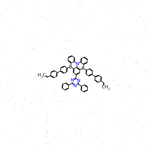 C=Cc1ccc(-c2ccc(B3c4ccccc4N4c5ccccc5B(c5ccc(-c6ccc(C=C)cc6)cc5)c5cc(-c6nc(-c7ccccc7)nc(-c7ccccc7)n6)cc3c54)cc2)cc1